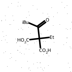 CCC(C)C(=O)C(CC)(C(=O)O)C(=O)O